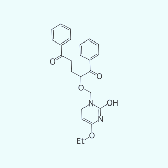 CCOC1=CCN(COC(CCC(=O)c2ccccc2)C(=O)c2ccccc2)C(O)=N1